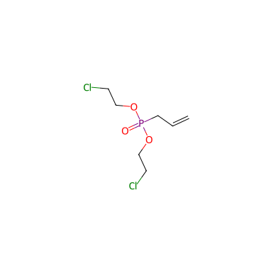 C=CCP(=O)(OCCCl)OCCCl